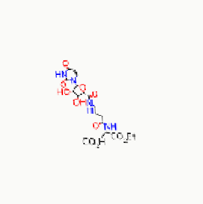 CCOC(=O)C(CC(=O)O)NC(=O)CCCNC(=O)[C@H]1O[C@@H](n2ccc(=O)[nH]c2=O)[C@H](O)[C@@H]1O